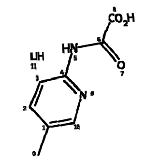 Cc1ccc(NC(=O)C(=O)O)nc1.[LiH]